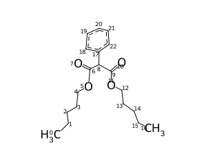 CCCCCOC(=O)C(C(=O)OCCCCC)c1ccccc1